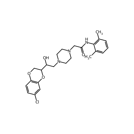 Cc1cccc(C)c1NC(=O)CN1CCN(CC(O)C2COc3ccc(Cl)cc3O2)CC1